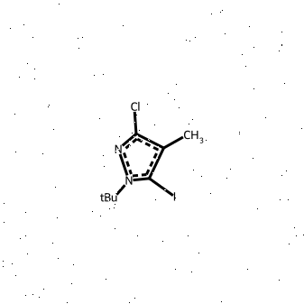 Cc1c(Cl)nn(C(C)(C)C)c1I